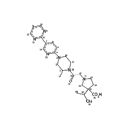 CC1CN(c2ccc(-c3ncccn3)cn2)CCN1C(=O)CN1CCC(C(=O)O)(C(C)O)C1